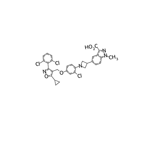 Cn1nc(C(=O)O)c2cc(C3CN(c4ccc(OCc5c(-c6c(Cl)cccc6Cl)noc5C5CC5)cc4Cl)C3)ccc21